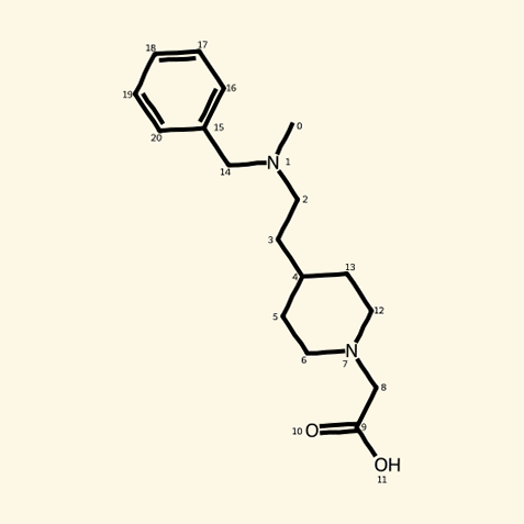 CN(CCC1CCN(CC(=O)O)CC1)Cc1ccccc1